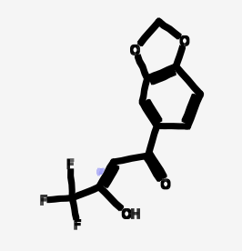 O=C(/C=C(\O)C(F)(F)F)c1ccc2c(c1)OCO2